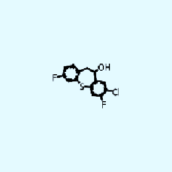 OC1Cc2ccc(F)cc2Sc2cc(F)c(Cl)cc21